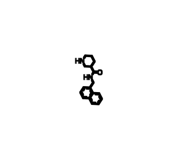 O=C(NCc1cccc2ccccc12)C1CCCNC1